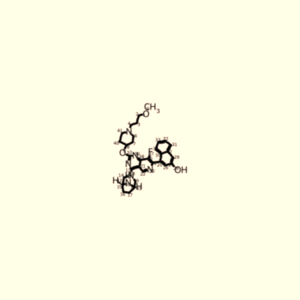 COCCCN1CCC(Oc2nc(N3C[C@H]4CC[C@@H](C3)N4)c3cnc(-c4cc(O)cc5ccccc45)c(F)c3n2)CC1